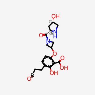 O=BCCc1ccc(OC2CN(C(=O)[C@@H]3C[C@H](O)CN3)C2)c(C(=O)O)c1O